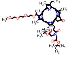 CCC1=C(C)c2cc3[nH]c(cc4nc(c5c6[nH]c(cc1n2)c(C)c6C(=O)C5)[C@@H](CCC(=O)N(CC(=O)OC(C)(C)C)CC(=O)OC(C)(C)C)[C@@H]4C)c(C)c3C(C)OCCOCCOCCOC